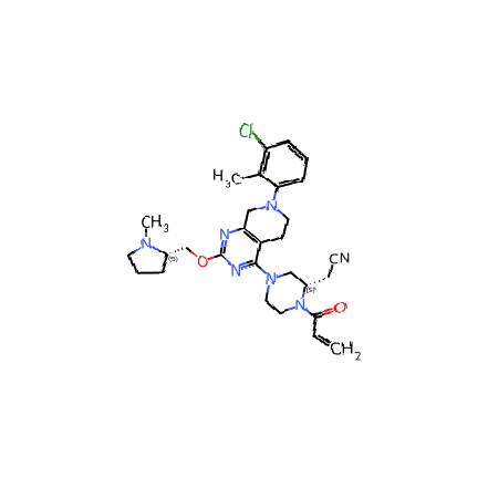 C=CC(=O)N1CCN(c2nc(OC[C@@H]3CCCN3C)nc3c2CCN(c2cccc(Cl)c2C)C3)C[C@@H]1CC#N